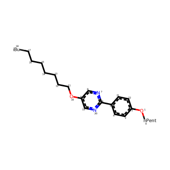 CCCCCOc1ccc(-c2ncc(OCCCCCCCC(C)CC)cn2)cc1